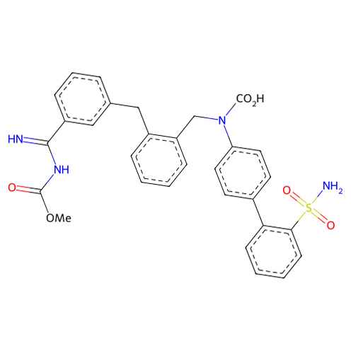 COC(=O)NC(=N)c1cccc(Cc2ccccc2CN(C(=O)O)c2ccc(-c3ccccc3S(N)(=O)=O)cc2)c1